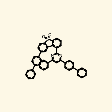 O=S1(=O)c2ccc(-c3ccc(-c4ccccc4)cc3)cc2-c2c(-c3nc(-c4ccccc4)cc(-c4ccc(-c5ccccc5)cc4)n3)cccc21